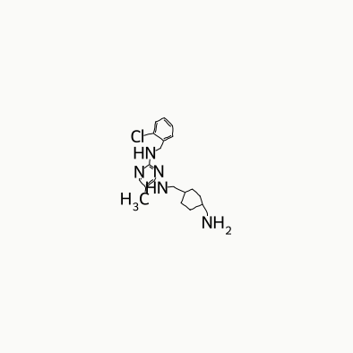 Cc1cnc(NCc2ccccc2Cl)nc1NCC1CCC(CN)CC1